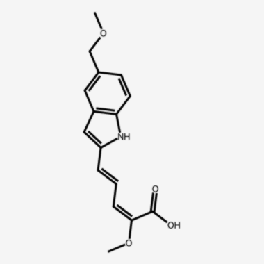 COCc1ccc2[nH]c(/C=C/C=C(/OC)C(=O)O)cc2c1